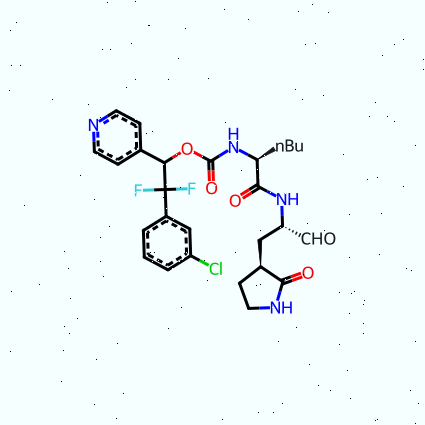 CCCC[C@H](NC(=O)OC(c1ccncc1)C(F)(F)c1cccc(Cl)c1)C(=O)N[C@H](C=O)C[C@@H]1CCNC1=O